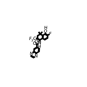 CC1(C)CC(O)(C(F)(F)F)C(NC(=O)c2ccc3nccnc3c2)c2ccc(F)c(O)c21